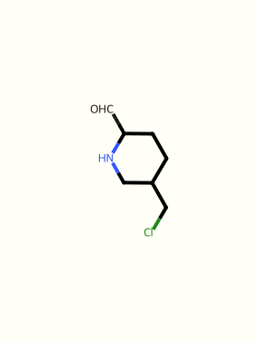 O=CC1CCC(CCl)CN1